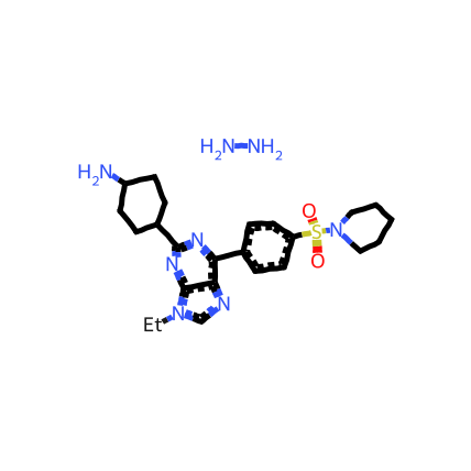 CCn1cnc2c(-c3ccc(S(=O)(=O)N4CCCCC4)cc3)nc(C3CCC(N)CC3)nc21.NN